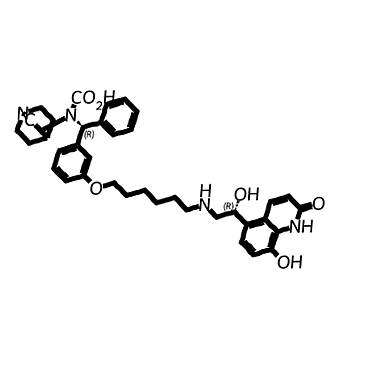 O=C(O)N(C1CN2CCC1CC2)[C@H](c1ccccc1)c1cccc(OCCCCCCNC[C@H](O)c2ccc(O)c3[nH]c(=O)ccc23)c1